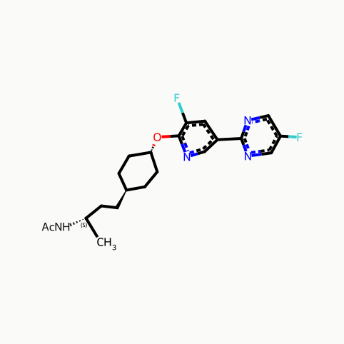 CC(=O)N[C@@H](C)CC[C@H]1CC[C@H](Oc2ncc(-c3ncc(F)cn3)cc2F)CC1